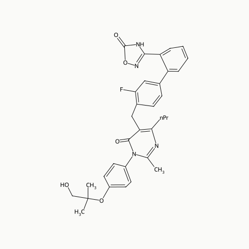 CCCc1nc(C)n(-c2ccc(OC(C)(C)CO)cc2)c(=O)c1Cc1ccc(-c2ccccc2-c2noc(=O)[nH]2)cc1F